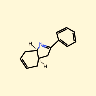 C1=CC[C@H]2N=C(c3ccccc3)C[C@H]2C1